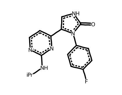 CC(C)Nc1nccc(-c2c[nH]c(=O)n2-c2ccc(F)cc2)n1